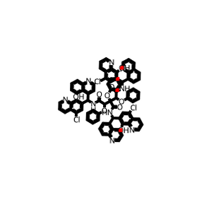 O=C(NC(c1cc(Cl)c2cccnc2c1O)c1ccnc2ccccc12)C(Oc1ccccc1)C(Oc1ccccc1)(C(=O)NC(c1cc(Cl)c2cccnc2c1O)c1cccc2ncccc12)C(Oc1ccccc1)C(=O)NC(c1cc(Cl)c2cccnc2c1O)c1cccc2cccnc12